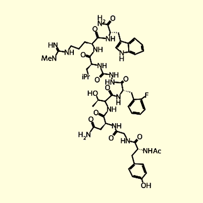 CNC(=N)NCCC[C@H](NC(=O)[C@H](CC(C)C)NC(=O)NNC(=O)[C@H](Cc1ccccc1F)NC(=O)C(NC(=O)[C@H](CC(N)=O)NC(=O)CNC(=O)[C@@H](Cc1ccc(O)cc1)NC(C)=O)[C@@H](C)O)C(=O)N[C@@H](Cc1c[nH]c2ccccc12)C(N)=O